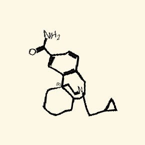 NC(=O)c1ccc2c(c1)[C@@]13CCCCC1C(C2)N(CC1CC1)CC3